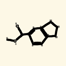 COC([O])c1ccc2c(c1)CCC2